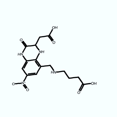 O=C(O)CCCNCc1cc([N+](=O)[O-])cc2c1NC(CC(=O)O)C(=O)N2